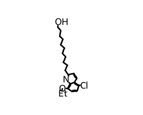 CCOc1ccc(Cl)c2ccc(CCCCCCCCCCCO)nc12